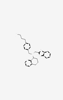 NCCCc1ccc(CN(Cc2nc3ccccc3[nH]2)C2CCCc3cccnc32)cc1